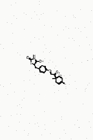 C[C@@H]1CC(F)=CCC1(C)C(=O)COC1=CCC(CC2SC(=O)NC2O)C=C1